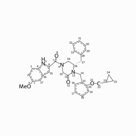 COc1ccc2[nH]c(C(=O)N3CC(=O)N(Cc4ccccc4OCC4CC4)[C@@H](Cc4ccccc4)C3)cc2c1